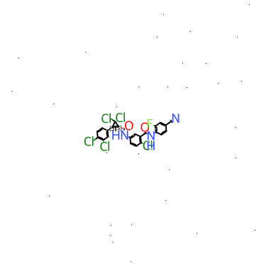 N#Cc1ccc(NC(=O)c2cc(NC(=O)[C@@H]3[C@@H](c4ccc(Cl)c(Cl)c4)C3(Cl)Cl)ccc2Cl)c(F)c1